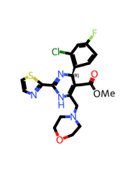 COC(=O)C1=C(CN2CCOCC2)NC(c2nccs2)=N[C@H]1c1ccc(F)cc1Cl